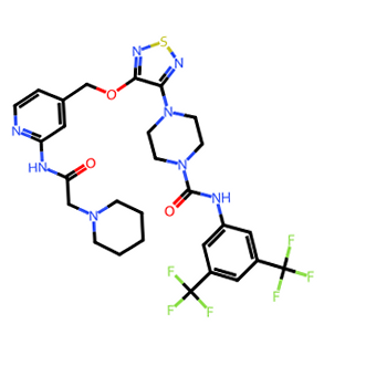 O=C(CN1CCCCC1)Nc1cc(COc2nsnc2N2CCN(C(=O)Nc3cc(C(F)(F)F)cc(C(F)(F)F)c3)CC2)ccn1